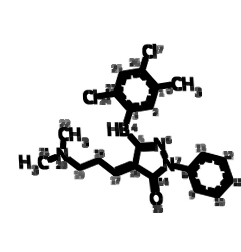 Cc1cc(BC2=NN(c3ccccc3)C(=O)/C2=C/CCN(C)C)c(Cl)cc1Cl